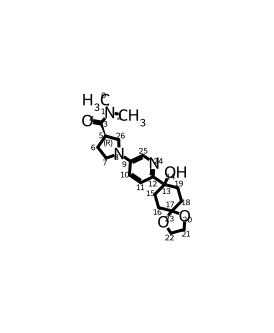 CN(C)C(=O)[C@@H]1CCN(c2ccc(C3(O)CCC4(CC3)OCCO4)nc2)C1